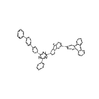 c1ccc(-c2ccc(-c3ccc(-c4nc(-c5ccccc5)nc(-c5ccc6c(c5)sc5ccc(-c7ccc8c9ccccc9c9ccccc9c8c7)cc56)n4)cc3)cc2)cc1